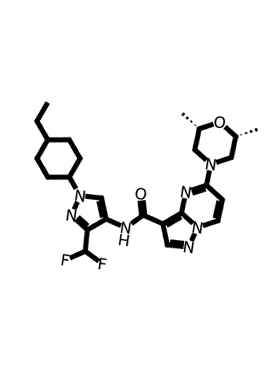 CCC1CCC(n2cc(NC(=O)c3cnn4ccc(N5C[C@@H](C)O[C@@H](C)C5)nc34)c(C(F)F)n2)CC1